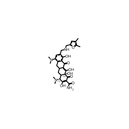 Cc1cc(CNCc2cc(N(C)C)c3c(c2O)C(=O)C2=C(O)[C@]4(O)C(=O)C(C(N)=O)=C(O)[C@@H](N(C)C)C4CC2C3)oc1C